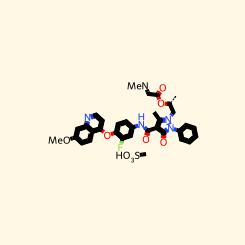 CNCC(=O)O[C@H](C)Cn1c(C)c(C(=O)Nc2ccc(Oc3ccnc4cc(OC)ccc34)c(F)c2)c(=O)n1-c1ccccc1.CS(=O)(=O)O